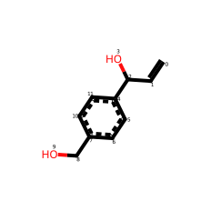 C=CC(O)c1ccc(CO)cc1